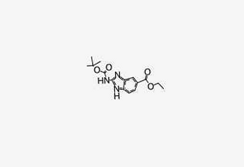 CCOC(=O)c1ccc2[nH]c(NC(=O)OC(C)(C)C)nc2c1